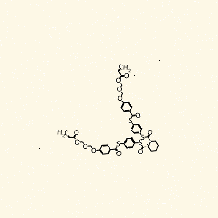 C=CC(=O)OCOCOc1ccc(C(=O)Sc2ccc(SC(=O)[C@H]3CCCC[C@@H]3C(=O)Sc3ccc(SC(=O)c4ccc(OCOCOC(=O)C=C)cc4)cc3)cc2)cc1